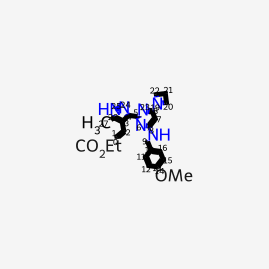 CCOC(=O)/C=C/c1c(-c2nc(NCc3ccc(OC)cc3)cc(N3CCC3)n2)n[nH]c1C